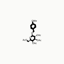 COc1ccc(CO[C@@H]2O[C@H](COC(C)=O)[C@H](OC(C)=O)[C@H](OC(C)=O)[C@H]2OC(C)=O)cc1